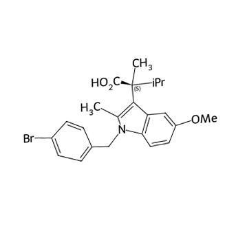 COc1ccc2c(c1)c([C@@](C)(C(=O)O)C(C)C)c(C)n2Cc1ccc(Br)cc1